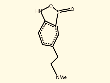 CNCCc1ccc2c(c1)S(=O)ON2